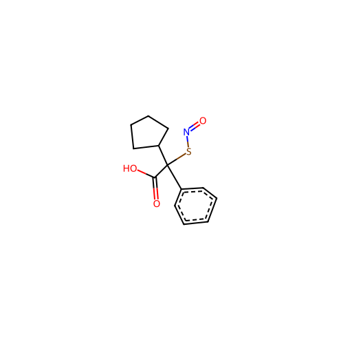 O=NSC(C(=O)O)(c1ccccc1)C1CCCC1